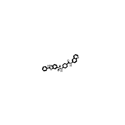 O=C(Nc1ccc2ncccc2c1)C1CCC(NS(=O)(=O)c2ccc3[nH]c(-c4ccccc4)nc3c2)CC1